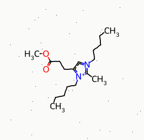 CCCCCn1cc(CCC(=O)OC)[n+](CCCCC)c1C